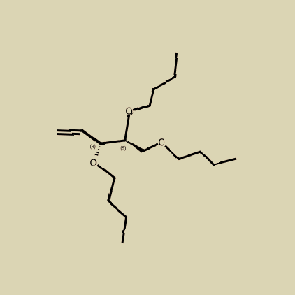 C=C[C@@H](OCCCC)[C@H](COCCCC)OCCCC